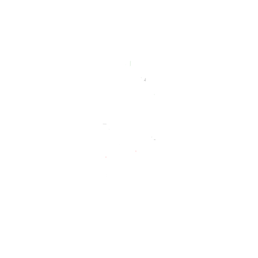 C[Si](Cl)(Cl)CC[SiH2]C(O[Si](C)(C)C)O[Si](C)(C)C